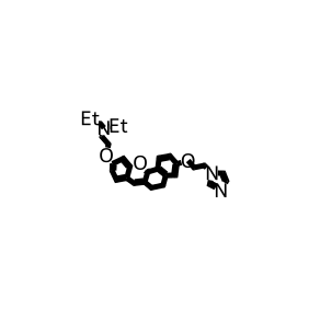 CCN(CC)CCOc1ccc(C=C2CCc3cc(OCCn4ccnc4)ccc3C2=O)cc1